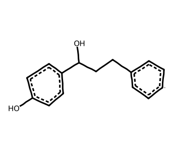 Oc1ccc(C(O)CCc2cc[c]cc2)cc1